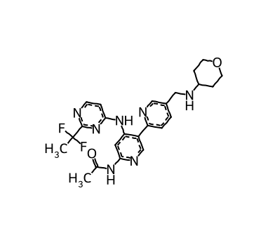 CC(=O)Nc1cc(Nc2ccnc(C(C)(F)F)n2)c(-c2ccc(CNC3CCOCC3)cn2)cn1